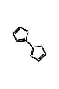 [c]1csc(-c2cccs2)n1